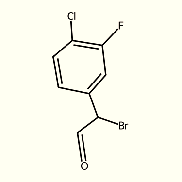 O=CC(Br)c1ccc(Cl)c(F)c1